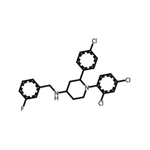 Fc1cccc(CNC2CCN(c3ccc(Cl)cc3Cl)C(c3ccc(Cl)cc3)C2)c1